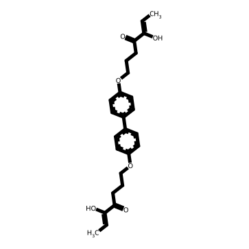 CC=C(O)C(=O)CCCOc1ccc(-c2ccc(OCCCC(=O)C(O)=CC)cc2)cc1